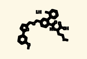 COc1cccc(-c2ccc(COCc3ccc(C(=O)NC(CCSC)C(=O)O)c(-c4ccccc4C)c3)o2)c1.[LiH]